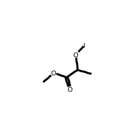 COC(=O)C(C)OI